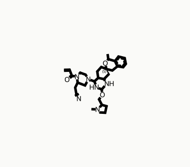 C=CC(=O)N1CCN(C2NC(OCC3CCCN3C)NC3C[C@]4(CCC32)Cc2ccccc2C(C)O4)CC1CC#N